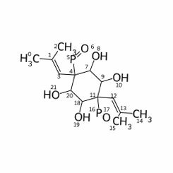 CC(C)=CC1(P=O)C(O)C(O)C(C=C(C)C)(P=O)C(O)C1O